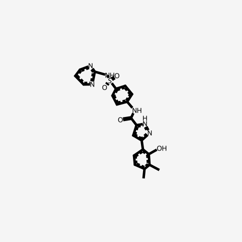 Cc1ccc(-c2cc(C(=O)Nc3ccc(S(=O)(=O)Nc4ncccn4)cc3)[nH]n2)c(O)c1C